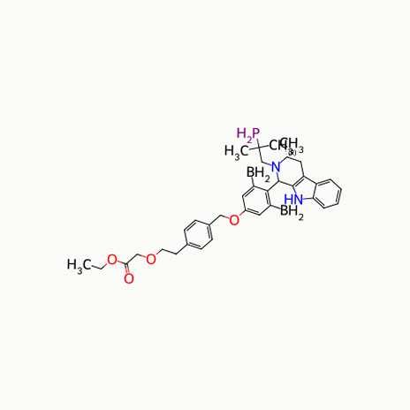 Bc1cc(OCc2ccc(CCOCC(=O)OCC)cc2)cc(B)c1C1c2[nH]c3ccccc3c2C[C@@H](C)N1CC(C)(C)P